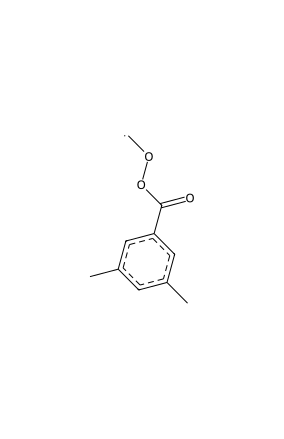 [CH2]OOC(=O)c1cc(C)cc(C)c1